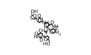 Cc1ccnc2c1NC(=O)c1cccnc1N2C1CC1.Cc1cn([C@H]2C=C[C@@H](CO)O2)c(=O)[nH]c1=O.Nc1ccn([C@H]2CS[C@@H](CO)O2)c(=O)n1